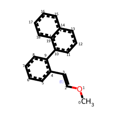 CO/C=C/c1ccccc1-c1cccc2ccccc12